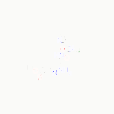 COc1ccc(-c2cnc(N)c(-c3ccc(NC(=O)c4cn(CC(F)(F)F)cc(-c5ccc(F)nc5)c4=O)cc3)c2)cc1OC